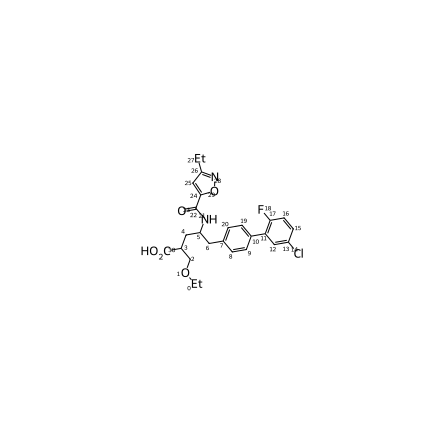 CCOCC(CC(Cc1ccc(-c2cc(Cl)ccc2F)cc1)NC(=O)c1cc(CC)no1)C(=O)O